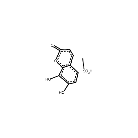 CS(=O)(=O)O.O=c1ccc2ccc(O)c(O)c2o1